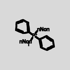 CCCCCCCCC[P+](CCCCCCCCC)(c1ccccc1)c1ccccc1.[I-]